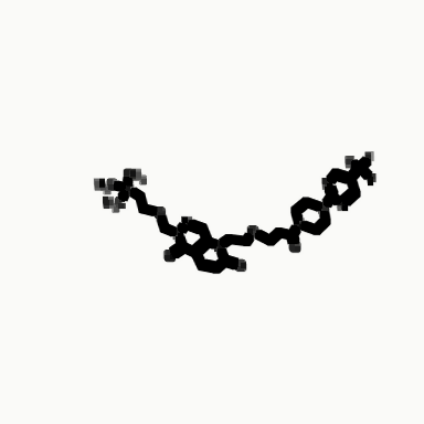 C[Si](C)(C)CCOCn1ncc2c(ccc(=O)n2CCOCCC(=O)N2CCN(c3ncc(C(F)(F)F)cn3)CC2)c1=O